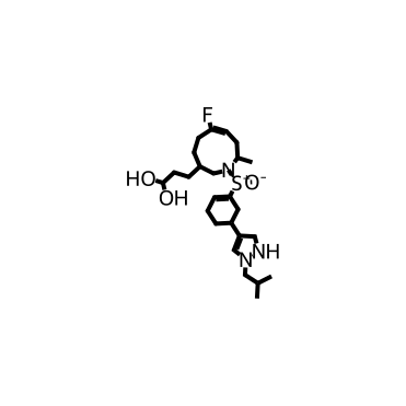 CC(C)CN1C=C(C2CCC=C([S+]([O-])N3CC(CCC(O)O)CC/C(F)=C\CC3C)C2)CN1